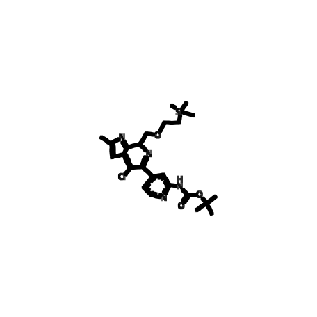 CC1=CC2=C(Cl)C(c3ccnc(NC(=O)OC(C)(C)C)c3)=NC(COCC[Si](C)(C)C)C2=N1